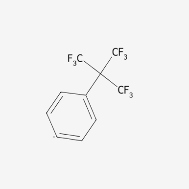 FC(F)(F)C(c1cc[c]cc1)(C(F)(F)F)C(F)(F)F